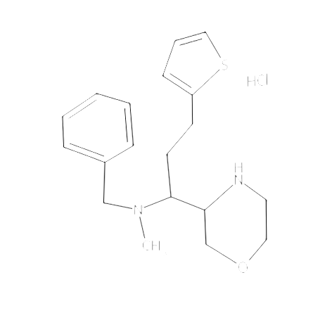 CN(Cc1ccccc1)C(CCc1cccs1)C1COCCN1.Cl